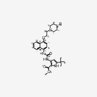 COC(=O)c1[nH]c(C(C)(C)C)cc1NC(=O)Nc1ccc(OCCN2CC[S+]([O-])CC2)c2ccccc12